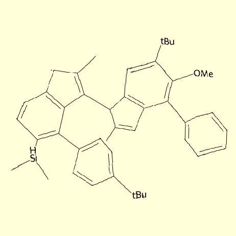 COc1c(C(C)(C)C)cc2c(c1-c1ccccc1)C=C(C)C2C1=C(C)[CH]c2ccc([SiH](C)C)c(-c3ccc(C(C)(C)C)cc3)c21